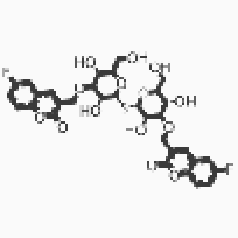 O=c1oc2ccc(F)cc2cc1COC1[C@@H](O)C(CO)O[C@@H](S[C@@H]2OC(CO)[C@H](O)C(OCc3cc4cc(F)ccc4oc3=O)[C@@H]2O)[C@@H]1O